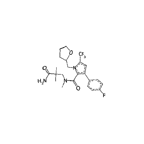 CN(CC(C)(C)C(N)=O)C(=O)c1c(-c2ccc(F)cc2)cc(C(F)(F)F)n1CC1CCCO1